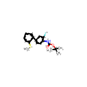 CSc1ccccc1-c1ccc(NC(=O)OC(C)(C)C)c(F)c1